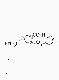 CCOC(=O)/C=C1\C[C@@H](COCc2ccccc2)N(C(=O)O)C1